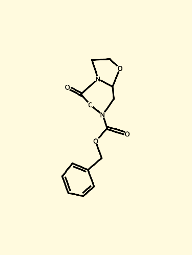 O=C(OCc1ccccc1)N1CC(=O)N2CCOC2C1